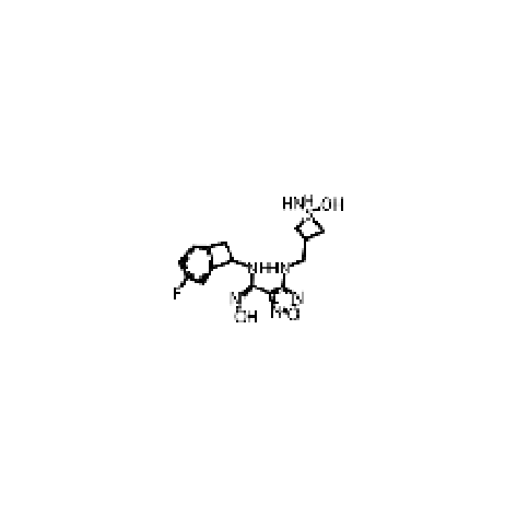 N=[SH]1(O)CC(CNc2nonc2C(=NO)NC2Cc3ccc(F)cc32)C1